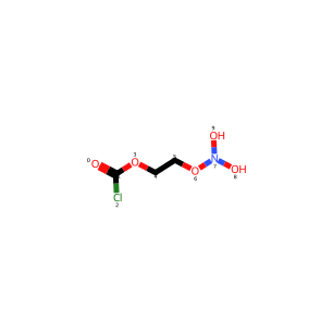 O=C(Cl)OCCON(O)O